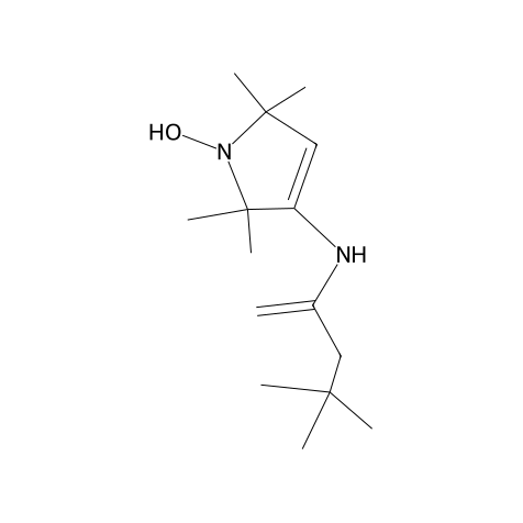 C=C(CC(C)(C)C)NC1=CC(C)(C)N(O)C1(C)C